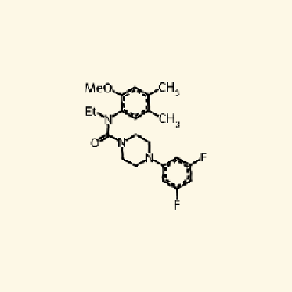 CCN(C(=O)N1CCN(c2cc(F)cc(F)c2)CC1)c1cc(C)c(C)cc1OC